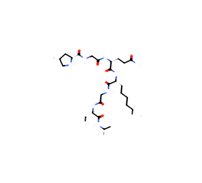 CC(C)C[C@H](NC(=O)CNC(=O)[C@H](CCCCCC(=O)O)NC(=O)[C@H](CCC(N)=O)NC(=O)CNC(=O)[C@@H]1C[C@@H](O)CN1)C(=O)N[C@@H](C)C(=O)O